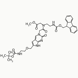 COC(=O)CN(CCNC(=O)OCC1c2ccccc2-c2ccccc21)C(=O)Cn1cc2cc(COCCNC(=O)OC(C)(C)C)[nH]c2nc1=O